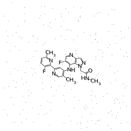 CNC(=O)Cn1ncc2ncc(F)c(Nc3cc(-c4nc(C)ccc4F)ncc3C)c21